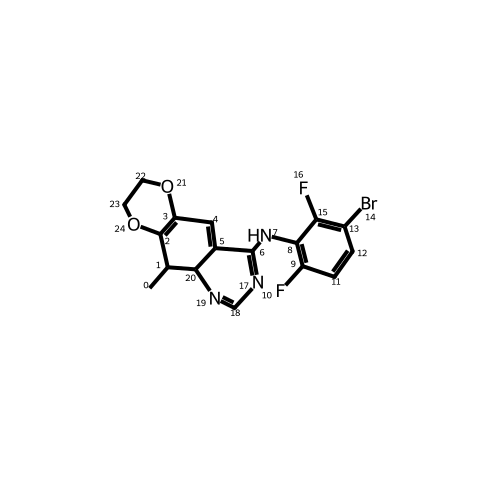 CC1C2=C(C=C3C(Nc4c(F)ccc(Br)c4F)=NC=NC31)OCCO2